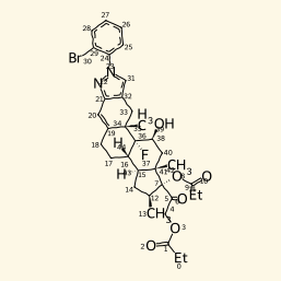 CCC(=O)OCC(=O)[C@@]1(OC(=O)CC)[C@@H](C)C[C@H]2[C@@H]3CCC4=Cc5nn(-c6ccccc6Br)cc5C[C@]4(C)[C@@]3(F)[C@@H](O)C[C@@]21C